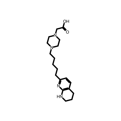 O=C(O)CN1CCN(CCCCCc2ccc3c(n2)NCCC3)CC1